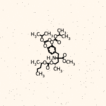 CCC[C@H](C)OC(=O)O[C@@H](C)CC(N)(Cc1ccc(OC(=O)OC(C)C)c(OC(=O)OC(C)C)c1)C(=O)OC